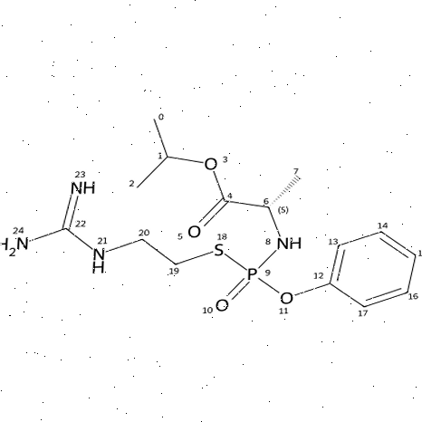 CC(C)OC(=O)[C@H](C)NP(=O)(Oc1ccccc1)SCCNC(=N)N